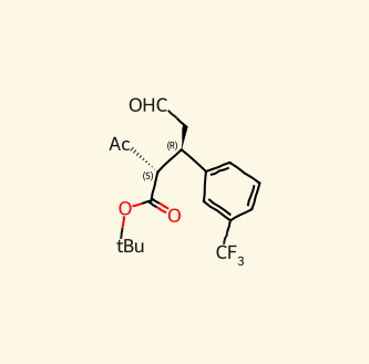 CC(=O)[C@@H](C(=O)OC(C)(C)C)[C@@H](CC=O)c1cccc(C(F)(F)F)c1